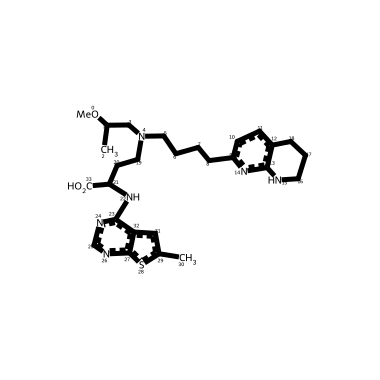 COC(C)CN(CCCCc1ccc2c(n1)NCCC2)CCC(Nc1ncnc2sc(C)cc12)C(=O)O